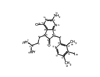 CCCN(CCC)CCn1c(=O)n(Cc2ncc(C)c(I)c2C)c2nc(N)nc(Cl)c21